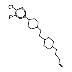 C=CCCCC1CCC(CCC2CCC(c3ccc(Cl)c(F)c3)CC2)CC1